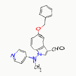 CN(c1ccncc1)n1cc(C=O)c2cc(OCc3ccccc3)ccc21